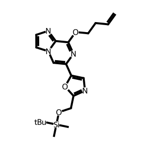 C=CCCOc1nc(-c2cnc(CO[Si](C)(C)C(C)(C)C)o2)cn2ccnc12